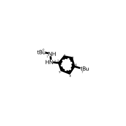 CC(C)(C)NNc1ccc(C(C)(C)C)cc1